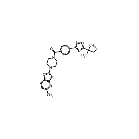 Cc1ccc2oc(N3CCN(C(=O)c4ccc(-c5noc(C(C)(C)CF)n5)cc4)CC3)nc2n1